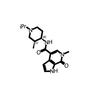 CC(C)N1CC[C@@H](NC(=O)c2cn(C)c(=O)c3[nH]ccc23)[C@@H](C)C1